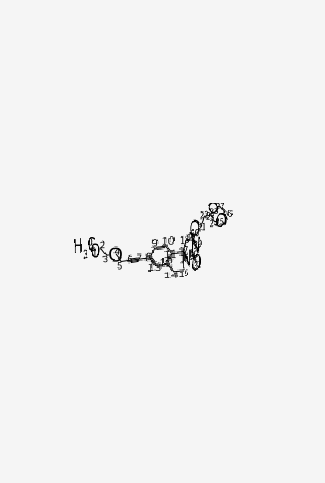 COCCOCC#Cc1ccc2c(c1)CCn1c-2cc(OCCC2COCCO2)nc1=O